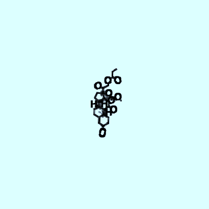 CCC(=O)OCC(=O)[C@@]1(OC(=O)OC)CC[C@H]2[C@@H]3CCC4=CC(=O)CC[C@]4(C)[C@H]3C(=O)C[C@@]21C